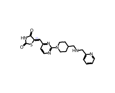 O=C1NC(=O)/C(=C/c2ccnc(N3CCC(CNCc4ccccn4)CC3)n2)S1